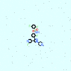 CN1CCC(n2cc(-c3ccnc(F)c3)c(-c3cccc(NS(=O)(=O)c4cc(F)ccc4F)c3F)n2)CC1